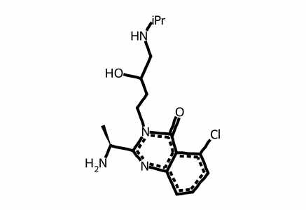 CC(C)NCC(O)CCn1c([C@H](C)N)nc2cccc(Cl)c2c1=O